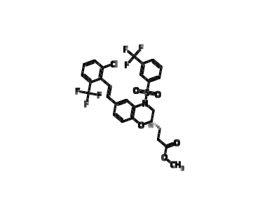 COC(=O)CC[C@H]1CN(S(=O)(=O)c2cccc(C(F)(F)F)c2)c2cc(C=Cc3c(Cl)cccc3C(F)(F)F)ccc2O1